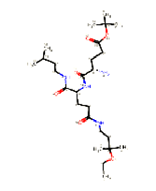 CCOC(C)(C)CCNC(=O)CC[C@H](NC(=O)[C@@H](N)CCC(=O)OC(C)(C)C)C(=O)NCCC(C)C